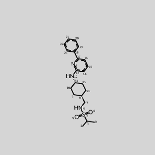 CC(C)S(=O)(=O)NC[C@H]1CC[C@H](Nc2cccc(-c3ccccc3)n2)CC1